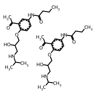 CCCC(=O)Nc1ccc(OCC(O)CNC(C)C)c(C(C)=O)c1.CCCC(=O)Nc1ccc(OCC(O)CNC(C)C)c(C(C)=O)c1